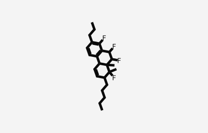 CCCCCC1C=CC2c3ccc(CCC)c(F)c3C(F)C(F)C2(C)C1(C)F